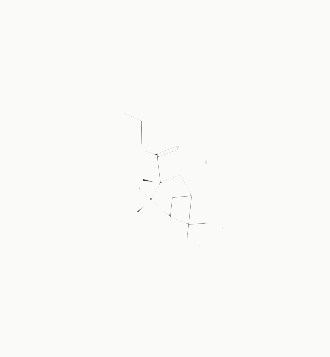 CCOC(=O)[C@@H]1C[C@@H]2C[C@H]([C@@H]1N)C2(C)C.Cl